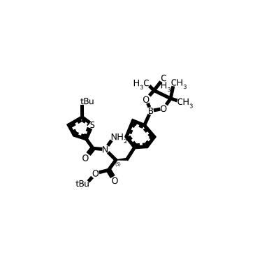 CC(C)(C)OC(=O)[C@H](Cc1ccc(B2OC(C)(C)C(C)(C)O2)cc1)N(N)C(=O)c1ccc(C(C)(C)C)s1